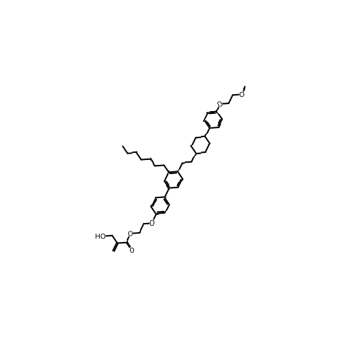 C=C(CO)C(=O)OCCOc1ccc(-c2ccc(CCC3CCC(c4ccc(OCCOC)cc4)CC3)c(CCCCCCC)c2)cc1